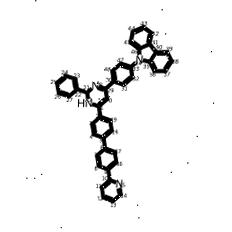 C1=C(c2ccc(-c3ccc(-c4ccccn4)cc3)cc2)NC(c2ccccc2)N=C1c1ccc(-n2c3ccccc3c3ccccc32)cc1